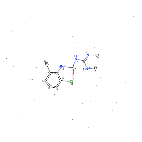 CCN=C(NCC)NC(=O)Nc1c(Cl)cccc1CC